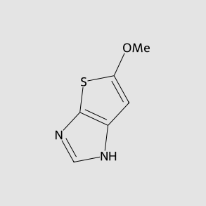 COc1cc2[nH]cnc2s1